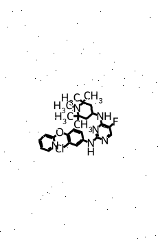 CN1C(C)(C)CC(Nc2nc(Nc3ccc(Oc4ccccn4)c(Cl)c3)ncc2F)CC1(C)C